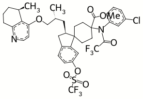 COC(=O)C1(N(C(=O)C(F)(F)F)c2cccc(Cl)c2)CCC2(CC1)c1cc(OS(=O)(=O)C(F)(F)F)ccc1C[C@H]2C[C@@H](C)COc1ccnc2c1[C@H](C)CCC2